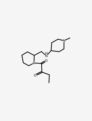 CCC(=O)C(=O)N1CCCCC1CNC1CCN(C)CC1